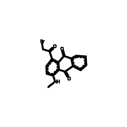 CNc1ccc(C(=O)CBr)c2c1C(=O)c1ccccc1C2=O